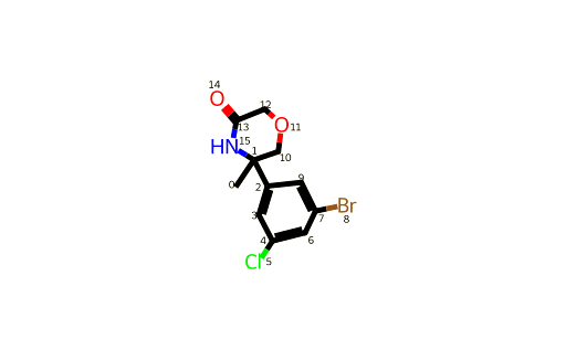 CC1(c2cc(Cl)cc(Br)c2)COCC(=O)N1